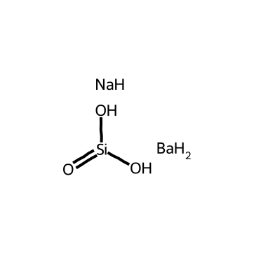 O=[Si](O)O.[BaH2].[NaH]